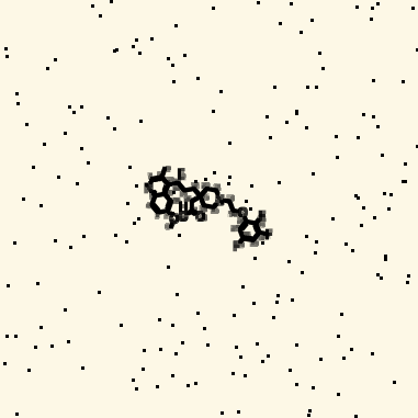 COc1ccc2ncc(C)c([C@H](F)CCC3(CC(=O)O)CCN(CCOc4cc(F)cc(F)c4F)CC3)c2c1